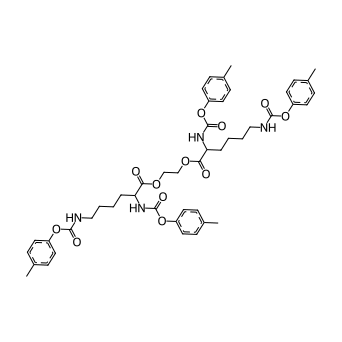 Cc1ccc(OC(=O)NCCCCC(NC(=O)Oc2ccc(C)cc2)C(=O)OCCOC(=O)C(CCCCNC(=O)Oc2ccc(C)cc2)NC(=O)Oc2ccc(C)cc2)cc1